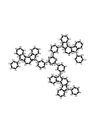 c1ccc(-n2c3ccccc3c3c4c5ccccc5n(-c5cccc(-c6nc(-c7cccc(-n8c9ccccc9c9c%10c%11ccccc%11n(-c%11ccccc%11)c%10ccc98)c7)nc(-c7cccc(-n8c9ccccc9c9c%10c%11ccccc%11n(-c%11ccccc%11)c%10ccc98)c7)n6)c5)c4ccc32)cc1